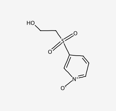 O=S(=O)(CCO)c1ccc[n+]([O-])c1